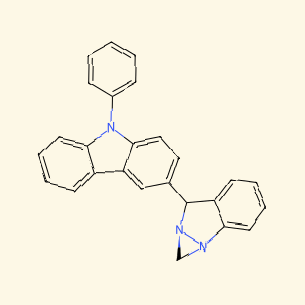 c1ccc(-n2c3ccccc3c3cc(C4c5ccccc5N5C[N@@]45)ccc32)cc1